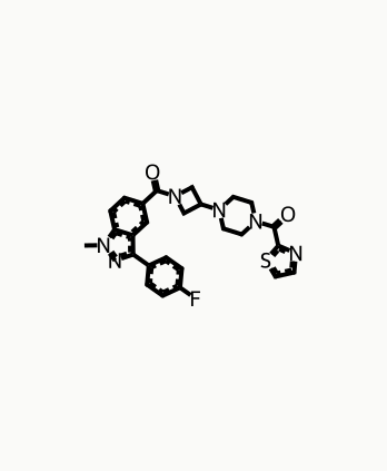 Cn1nc(-c2ccc(F)cc2)c2cc(C(=O)N3CC(N4CCN(C(=O)c5nccs5)CC4)C3)ccc21